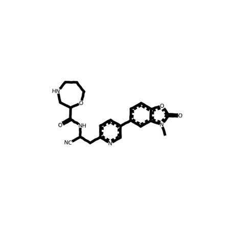 Cn1c(=O)oc2ccc(-c3ccc(CC(C#N)NC(=O)C4CNCCCO4)nc3)cc21